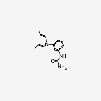 CC=CN(C=CC)c1cccc(NC(N)=O)c1